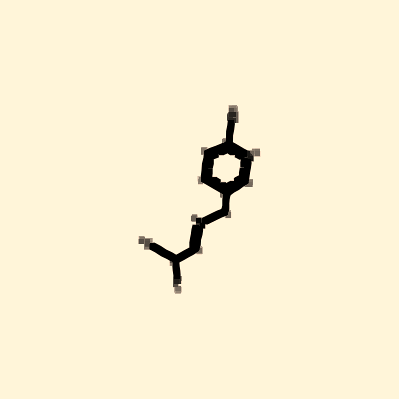 FC(F)C=NCc1ccc(Cl)nc1